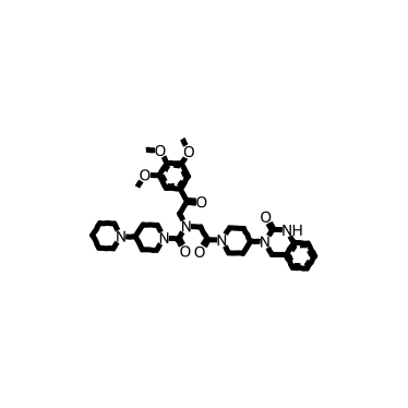 COc1cc(C(=O)CN(CC(=O)N2CCC(N3Cc4ccccc4NC3=O)CC2)C(=O)N2CCC(N3CCCCC3)CC2)cc(OC)c1OC